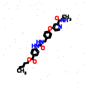 CCCCCOC(=O)c1ccc(NC(=O)NCc2ccc(Oc3ccnc(C(=O)NC)c3)cc2)cc1